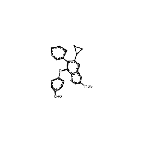 COc1ccc2c(Oc3ccc(C=O)cc3)c(-c3ccccc3)c(C3CC3)cc2c1